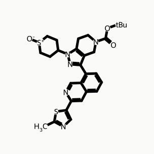 Cc1ncc(-c2cc3cccc(-c4nn(C5CC[S+]([O-])CC5)c5c4CN(C(=O)OC(C)(C)C)CC5)c3cn2)s1